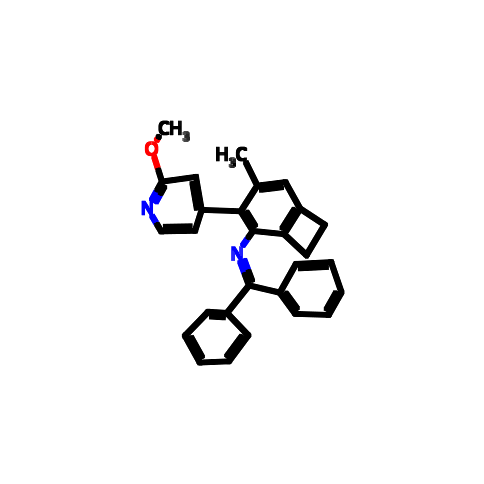 COc1cc(-c2c(C)cc3c(c2N=C(c2ccccc2)c2ccccc2)CC3)ccn1